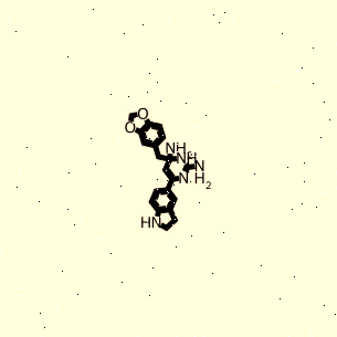 NC1=NC(c2ccc3c(c2)CCN3)=CC(N)(Cc2ccc3c(c2)OCO3)N1